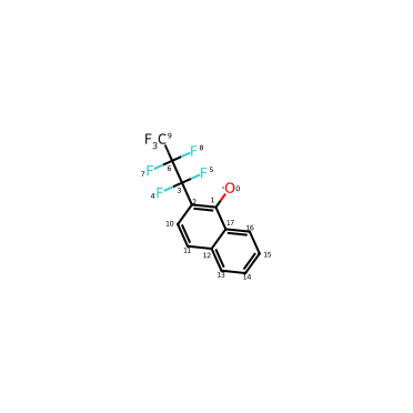 [O]c1c(C(F)(F)C(F)(F)C(F)(F)F)ccc2ccccc12